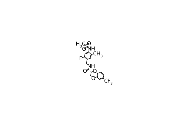 Cc1cc(CNC(=O)[C@H]2COc3cc(C(F)(F)F)ccc3O2)c(F)cc1NS(C)(=O)=O